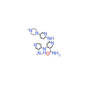 CN1CCN(c2ccc(Nc3cc(Nc4ccncc4N(C)C)c(C(N)=O)cn3)nc2)CC1